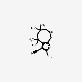 CC1(C)CNCc2sc(N)c(C#N)c2C(C)(C)C1